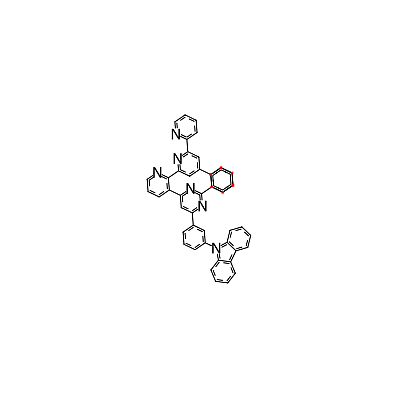 c1ccc(-c2cc(-c3ccccn3)nc(-c3ncccc3-c3cc(-c4cccc(-n5c6ccccc6c6ccccc65)c4)nc(-c4ccccc4)n3)c2)cc1